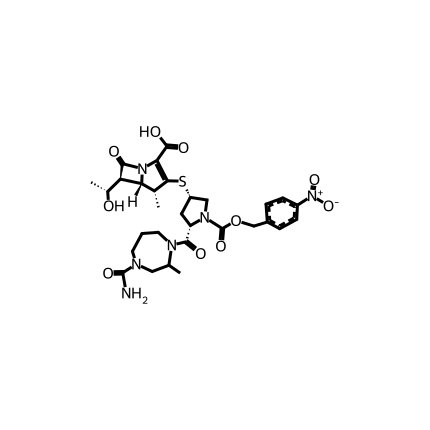 CC1CN(C(N)=O)CCCN1C(=O)[C@@H]1C[C@H](SC2=C(C(=O)O)N3C(=O)[C@H]([C@@H](C)O)[C@H]3[C@H]2C)CN1C(=O)OCc1ccc([N+](=O)[O-])cc1